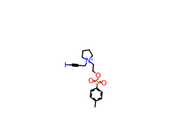 Cc1ccc(S(=O)(=O)OCC[N+]2(CC#CI)CCCC2)cc1